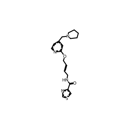 O=C(NCC=CCOc1cc(CN2CCCCC2)ccn1)c1cscn1